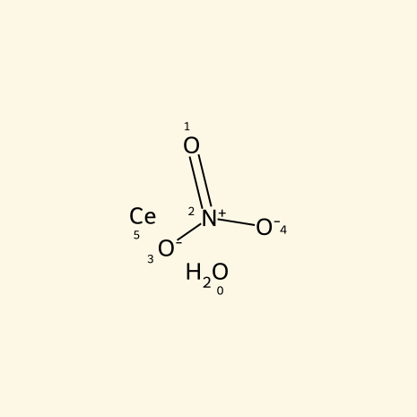 O.O=[N+]([O-])[O-].[Ce]